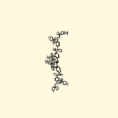 COC(=O)CSc1ccc(C(=O)Nc2ccc(C=Cc3ccc(NC(=O)c4ccc(SCC(=O)O)c(S(=O)(=O)N5CCOCC5)c4)cc3S(=O)(=O)O)c(S(=O)(=O)O)c2)cc1S(=O)(=O)N1CCOCC1